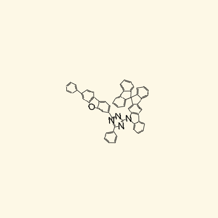 c1ccc(-c2ccc3c(c2)oc2cc(-c4nc(-c5ccccc5)nc(-n5c6ccccc6c6cc7c(cc65)C5(c6ccccc6-c6ccccc65)c5ccccc5-7)n4)ccc23)cc1